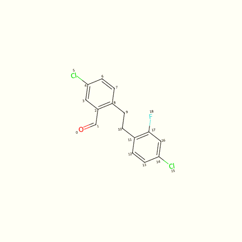 O=Cc1cc(Cl)ccc1CCc1ccc(Cl)cc1F